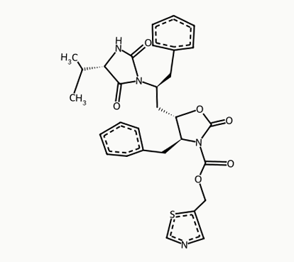 CC(C)[C@@H]1NC(=O)N([C@@H](Cc2ccccc2)C[C@@H]2OC(=O)N(C(=O)OCc3cncs3)[C@H]2Cc2ccccc2)C1=O